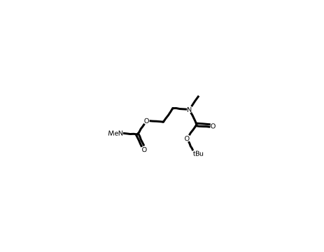 CNC(=O)OCCN(C)C(=O)OC(C)(C)C